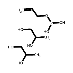 C=CCOP(O)O.CC(O)CO.CC(O)CO